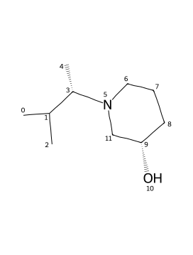 CC(C)[C@H](C)N1CCC[C@H](O)C1